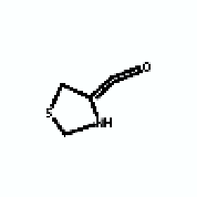 O=C=C1CSCN1